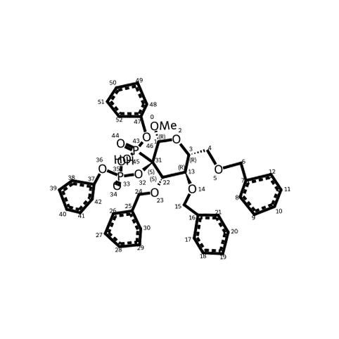 CO[C@@H]1O[C@H](COCc2ccccc2)[C@@H](OCc2ccccc2)[C@H](OCc2ccccc2)[C@]1(OP(=O)(O)Oc1ccccc1)P(=O)(O)Oc1ccccc1